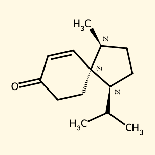 CC(C)[C@@H]1CC[C@H](C)[C@]12C=CC(=O)CC2